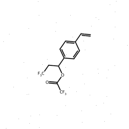 C=Cc1ccc(C(CC(F)(F)F)OC(=O)C(F)(F)F)cc1